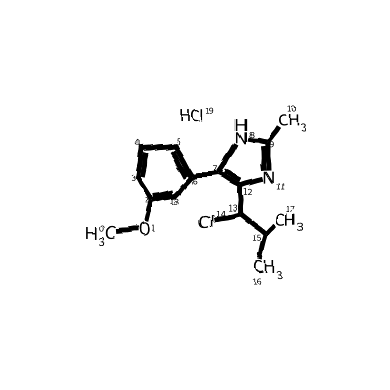 COc1cccc(-c2[nH]c(C)nc2C(Cl)C(C)C)c1.Cl